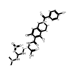 CN(C)NC(N=S(=O)=O)NC[C@H](NC(=O)c1c(Cl)cc2c(c1Cl)CCN(C(=O)c1ccc(Cl)cc1)C2)C(=O)O